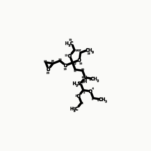 CCOC(OCC)[SiH2][SiH](C)CCC(OCC)(OCC)OCC1CO1